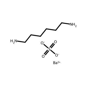 NCCCCCCN.O=S(=O)([O-])[O-].[Ba+2]